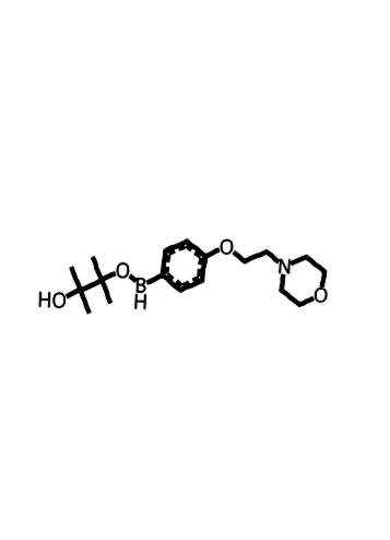 CC(C)(O)C(C)(C)OBc1ccc(OCCN2CCOCC2)cc1